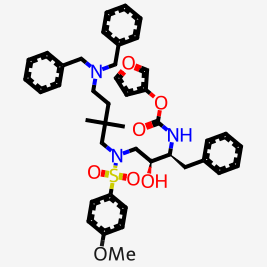 COc1ccc(S(=O)(=O)N(C[C@H](O)[C@H](Cc2ccccc2)NC(=O)Oc2ccoc2)CC(C)(C)CCN(Cc2ccccc2)Cc2ccccc2)cc1